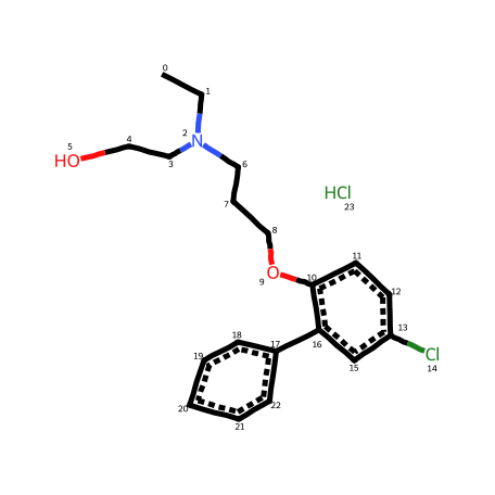 CCN(CCO)CCCOc1ccc(Cl)cc1-c1ccccc1.Cl